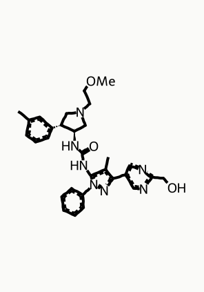 COCCN1C[C@@H](NC(=O)Nc2c(C)c(-c3cnc(CO)nc3)nn2-c2ccccc2)[C@H](c2cccc(C)c2)C1